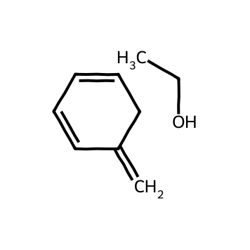 C=C1C=CC=CC1.CCO